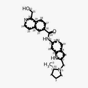 C[C@H]1CCCN1Cc1cc2cnc(NC(=O)c3ccc4c(CO)nccc4c3)cc2[nH]1